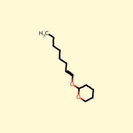 CCCCCC/C=[C]/OC1CCCCO1